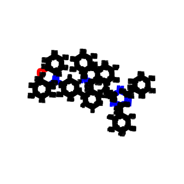 Cc1cccc(-c2ccc(N3c4ccccc4Oc4ccccc43)cc2)c1-c1nc2ccccc2c2cccc(Cc3nc(-c4ccccc4)nc(-c4ccccc4)n3)c12